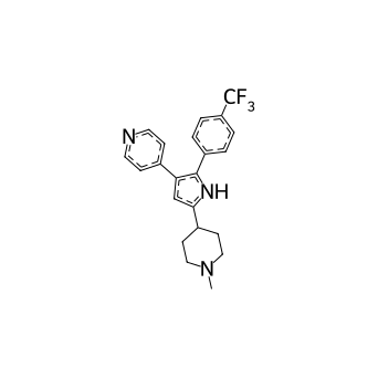 CN1CCC(c2cc(-c3ccncc3)c(-c3ccc(C(F)(F)F)cc3)[nH]2)CC1